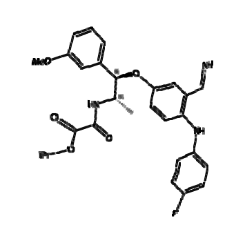 COc1cccc([C@@H](Oc2ccc(Nc3ccc(F)cc3)c(C=N)c2)[C@H](C)NC(=O)C(=O)OC(C)C)c1